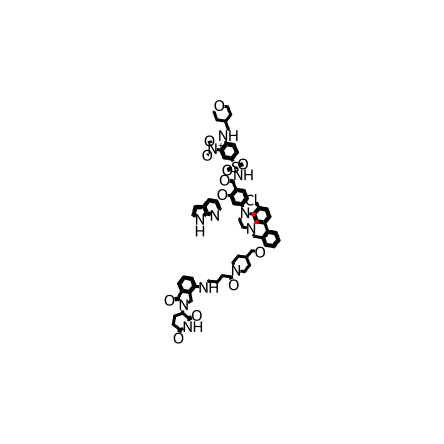 O=C1CCC(N2Cc3c(NCCCC(=O)N4CCC(COc5cccc(-c6ccc(Cl)cc6)c5CN5CCN(c6ccc(C(=O)NS(=O)(=O)c7ccc(NCC8CCOCC8)c([N+](=O)[O-])c7)c(Oc7cnc8[nH]ccc8c7)c6)CC5)CC4)cccc3C2=O)C(=O)N1